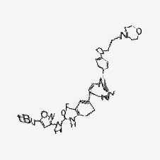 CC(C)(C)c1cc(NC(=O)Nc2ccc(-c3cn(-c4ccc(OCCN5CCOCC5)cc4)nn3)cc2F)no1